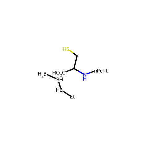 BBBCC.CCCCCNC(CS)C(=O)O